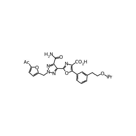 CC(=O)c1ccc(Cn2nc(C(N)=O)c(-c3nc(C(=O)O)c(-c4cccc(CCOC(C)C)c4)o3)n2)o1